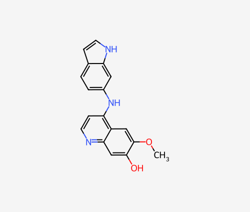 COc1cc2c(Nc3ccc4cc[nH]c4c3)ccnc2cc1O